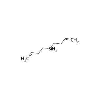 C=CCC[SiH2]CCC=C